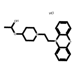 CC(O)OC1CCN(CCN2c3ccccc3Sc3ccccc32)CC1.Cl